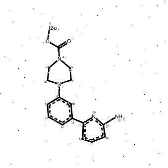 CC(C)(C)OC(=O)N1CCN(c2cccc(-c3cccc(N)n3)c2)CC1